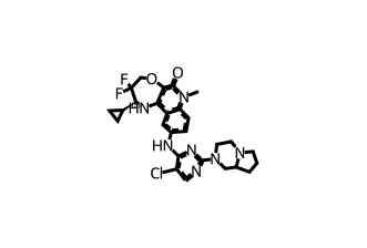 Cn1c(=O)c2c(c3cc(Nc4nc(N5CCN6CCCC6C5)ncc4Cl)ccc31)N[C@@H](C1CC1)C(F)(F)CO2